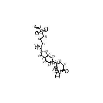 C=CS(=O)(=O)CCCNC1Cc2ccc(C3=NNC(=O)CC3)cc2C1